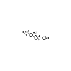 CS(=O)(=O)c1ccc(-c2ccc3nc(C4=CCNCC4)sc3n2)cc1.Cl